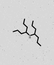 CCCC(CCC)NC(CCC)CCC